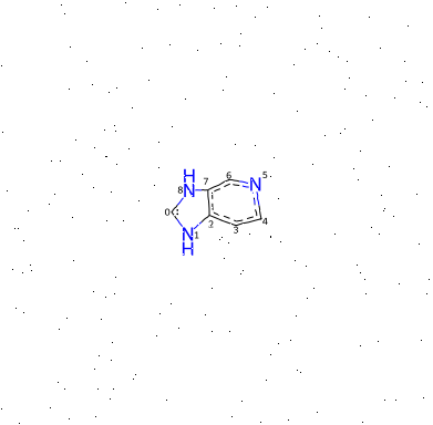 [C]1Nc2ccncc2N1